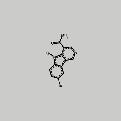 NC(=O)c1cncc2c3cc(Br)ccc3n(Cl)c12